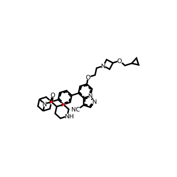 N#Cc1cnn2cc(OCCN3CC(OCC4CC4)C3)cc(-c3ccc(N4CC5CC(C4)N5C(=O)C4CCNCC4)nc3)c12